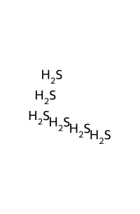 S.S.S.S.S.S